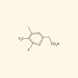 Cc1cc(CC(=O)O)cc(F)c1C(F)(F)F